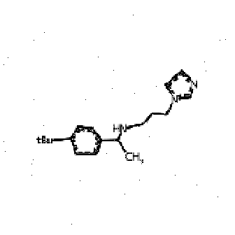 CC(NCCCn1ccnc1)c1ccc(C(C)(C)C)cc1